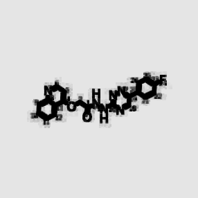 O=C(COc1ccnc2ccccc12)NNc1ncc(-c2ccc(F)cc2)nn1